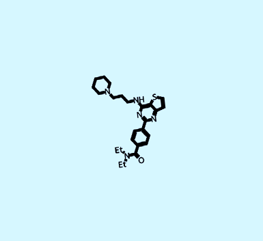 CCN(CC)C(=O)c1ccc(-c2nc(NCCCN3CCCCC3)c3sccc3n2)cc1